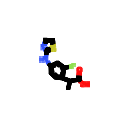 CC(C(=O)O)c1ccc(Nc2nccs2)cc1F